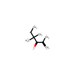 C=C(C)C(=O)C(C)(C)[CH]C